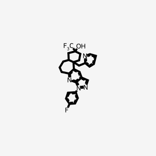 OC1(C(F)(F)F)CCC2(Cc3ccccn3)c3cc4cnn(-c5ccc(F)cc5)c4nc3CCCC2C1